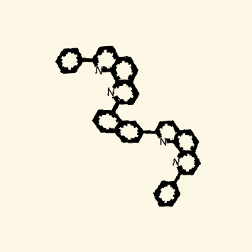 c1ccc(-c2ccc3ccc4ccc(-c5ccc6cccc(-c7ccc8ccc9ccc(-c%10ccccc%10)nc9c8n7)c6c5)nc4c3n2)cc1